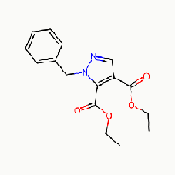 CCOC(=O)c1cnn(Cc2ccccc2)c1C(=O)OCC